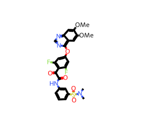 COc1cc2ncnc(Oc3cc(F)c(C(=O)C(=O)Nc4cccc(S(=O)(=O)N(C)C)c4)c(F)c3)c2cc1OC